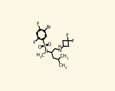 CC(C)CC(CNC1CC(F)(F)C1)N(C)S(=O)(=O)c1cc(Br)c(F)cc1F